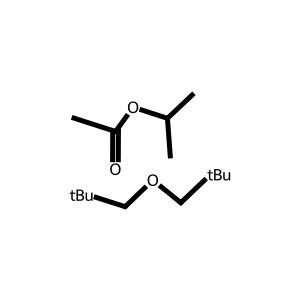 CC(=O)OC(C)C.CC(C)(C)COCC(C)(C)C